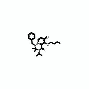 CCCCOc1c2n(ccc1=O)N(Cc1ccccc1)C(C)(C)N(C(C)C)C2=O